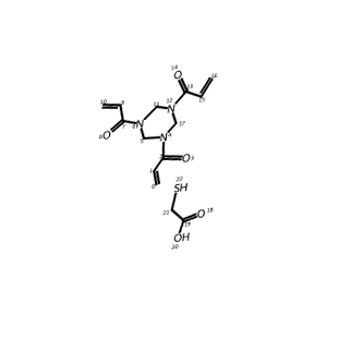 C=CC(=O)N1CN(C(=O)C=C)CN(C(=O)C=C)C1.O=C(O)CS